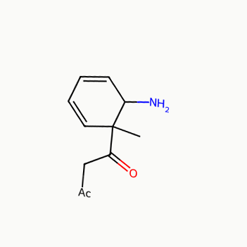 CC(=O)CC(=O)C1(C)C=CC=CC1N